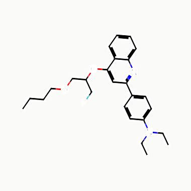 CCCCOCC(CF)Oc1cc(-c2ccc(N(CC)CC)cc2)nc2ccccc12